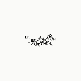 CC1(C(=O)O)CC[C@]2(C)CC[C@]3(C)C(=CC(=O)[C@@H]4[C@@]5(C)CC[C@H](OCCBr)C(C)(C)C5CC[C@]43C)[C@@H]2C1